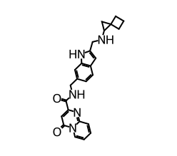 O=C(NCc1ccc2cc(CNC3CC34CCC4)[nH]c2c1)c1cc(=O)n2ccccc2n1